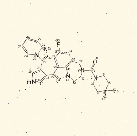 O=C(N1CCC(F)(F)CC1)N1CCn2cc(-c3c[nH]cc3-c3cnc4ccccn34)c3cc(F)cc(c32)C1